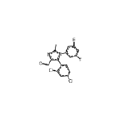 Cc1nc(C=O)c(-c2ccc(Cl)cc2Cl)n1-c1cc(F)cc(F)c1